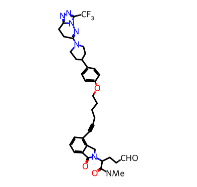 CNC(=O)C(CCC=O)N1Cc2c(C#CCCCCOc3ccc(C4CCN(C5=Nn6c(nnc6C(F)(F)F)CC5)CC4)cc3)cccc2C1=O